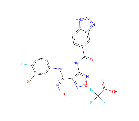 O=C(Nc1nonc1/C(=N\O)Nc1ccc(F)c(Br)c1)c1ccc2[nH]cnc2c1.O=C(O)C(F)(F)F